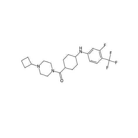 O=C(C1CCC(Nc2ccc(C(F)(F)F)c(F)c2)CC1)N1CCN(C2CCC2)CC1